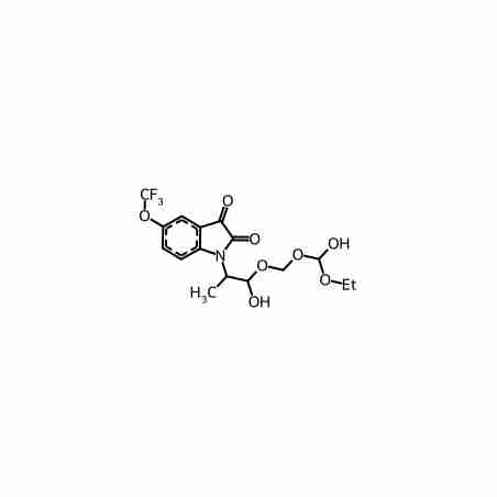 CCOC(O)OCOC(O)C(C)N1C(=O)C(=O)c2cc(OC(F)(F)F)ccc21